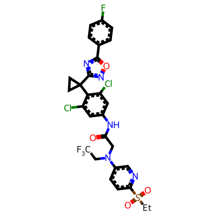 CCS(=O)(=O)c1ccc(N(CC(=O)Nc2cc(Cl)c(C3(c4noc(-c5ccc(F)cc5)n4)CC3)c(Cl)c2)CC(F)(F)F)cn1